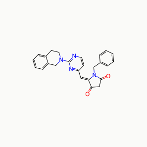 O=C1CC(=O)N(Cc2ccccc2)/C1=C\c1ccnc(N2CCc3ccccc3C2)n1